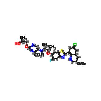 COc1cnc2c(-c3nc4cc(F)c(O[C@@H](C)[C@@H](C)N(C(=O)O)c5cnc(OC[C@H](C)O)nc5)cc4s3)cc(Cl)cc2c1